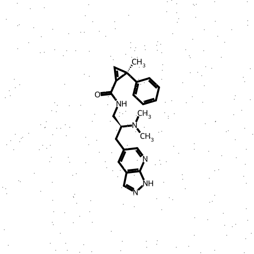 CN(C)[C@H](CNC(=O)C1=C[C@@]1(C)c1ccccc1)Cc1cnc2[nH]ncc2c1